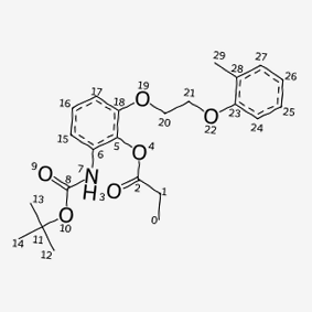 CCC(=O)Oc1c(NC(=O)OC(C)(C)C)cccc1OCCOc1ccccc1C